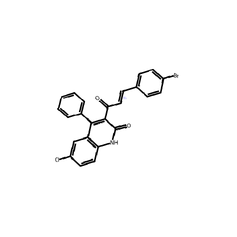 O=C(/C=C/c1ccc(Br)cc1)c1c(-c2ccccc2)c2cc(Cl)ccc2[nH]c1=O